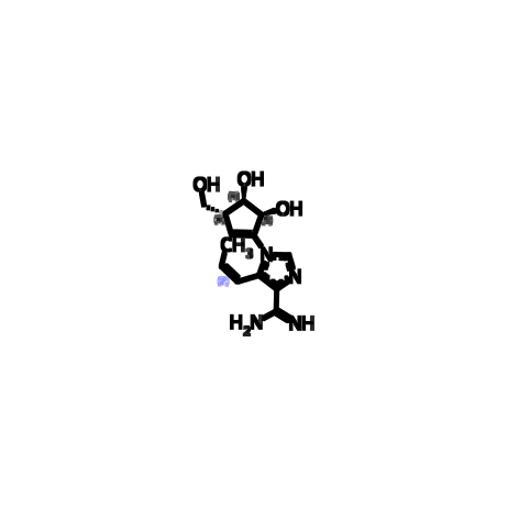 C/C=C\c1c(C(=N)N)ncn1C1=C[C@H](CO)[C@@H](O)[C@H]1O